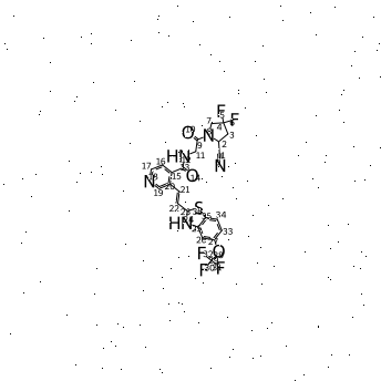 N#CC1CC(F)(F)CN1C(=O)CNC(=O)c1ccncc1/C=C/C1Nc2cc(OC(F)(F)F)ccc2S1